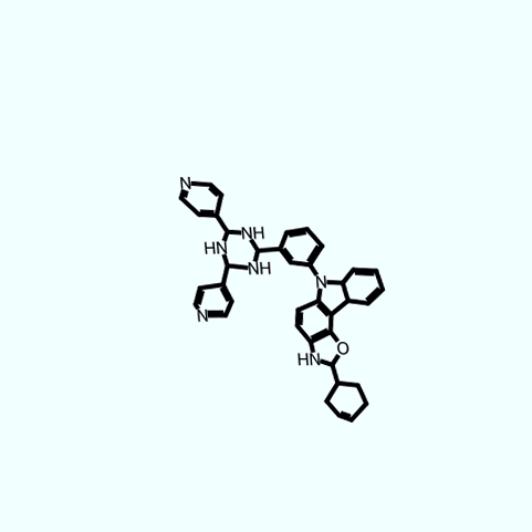 C1=CC2c3c(ccc4c3OC(C3CC=CCC3)N4)N(c3cccc(C4NC(c5ccncc5)NC(c5ccncc5)N4)c3)C2C=C1